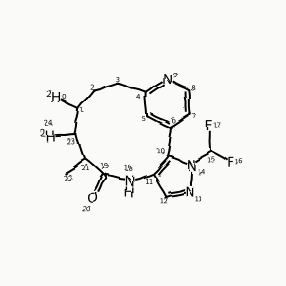 [2H]C1CCc2cc(ccn2)-c2c(cnn2C(F)F)NC(=O)C(C)C1[2H]